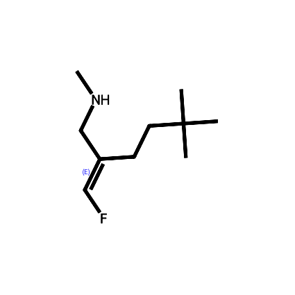 CNC/C(=C/F)CCC(C)(C)C